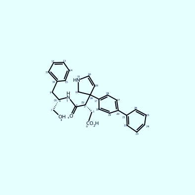 O=C(O)C[C@H](C(=O)N[C@H](CO)Cc1ccccc1)C1(c2ccc(-c3ccccc3)cc2)C=CNC1